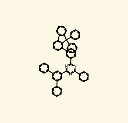 c1ccc(-c2cc(-c3ccccc3)cc(-c3nc(-c4ccccc4)nc(-c4cccc(-c5cccc6c5C(c5ccccc5)(c5ccccc5)c5ccccc5-6)c4)n3)c2)cc1